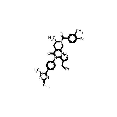 C=C1N=C(c2ccc(-n3c(=O)c4c(n5ncc(CC(C)C)c35)CN(C(=O)c3ccc(Br)c(C)c3)[C@H](C)C4)cc2)N(C)O1